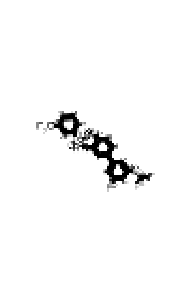 O=S(=O)(Nc1cc(-c2cc(F)cc(OC(F)F)c2)ccc1Br)c1cccc(C(F)(F)F)c1